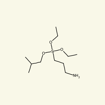 CCO[Si](CCCN)(OCC)OCC(C)C